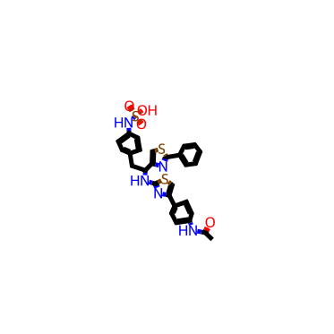 CC(=O)Nc1ccc(-c2csc(NC(Cc3ccc(NS(=O)(=O)O)cc3)c3csc(-c4ccccc4)n3)n2)cc1